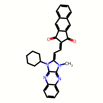 CN1/C(=C\C=C2C(=O)c3cc4ccccc4cc3C2=O)N(C2CCCCC2)c2nc3ccccc3nc21